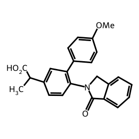 COc1ccc(-c2cc(C(C)C(=O)O)ccc2N2Cc3ccccc3C2=O)cc1